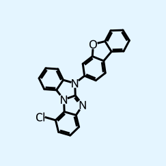 Clc1cccc2nc3n(-c4ccc5c(c4)oc4ccccc45)c4ccccc4n3c12